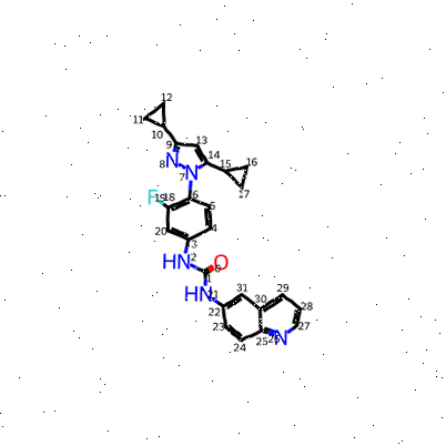 O=C(Nc1ccc(-n2nc(C3CC3)cc2C2CC2)c(F)c1)Nc1ccc2ncccc2c1